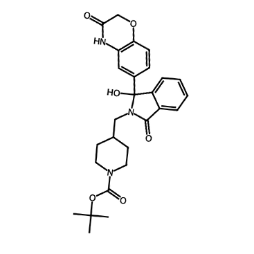 CC(C)(C)OC(=O)N1CCC(CN2C(=O)c3ccccc3C2(O)c2ccc3c(c2)NC(=O)CO3)CC1